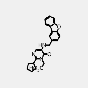 O=C(O)Cn1c(C2CCCC2)ncc(NCc2ccc3oc4ccccc4c3c2)c1=O